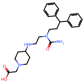 NC(=O)N(CCNC1CCN(CC(=O)O)CC1)CCC(c1ccccc1)c1ccccc1